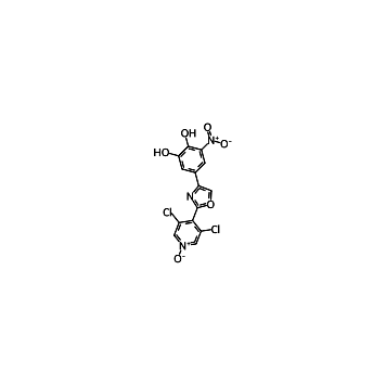 O=[N+]([O-])c1cc(-c2coc(-c3c(Cl)c[n+]([O-])cc3Cl)n2)cc(O)c1O